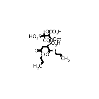 C=CCOC(=O)CC(C(=O)OCC=C)S(=O)(=O)O.CCCCCCCCC(C(=O)O)C(CCCCCCCC)(C(=O)O)S(=O)(=O)O